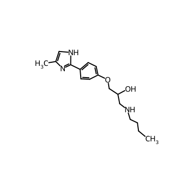 CCCCNCC(O)COc1ccc(-c2nc(C)c[nH]2)cc1